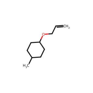 C=CCOC1CCC(C)CC1